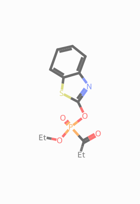 CCOP(=O)(Oc1nc2ccccc2s1)C(=O)CC